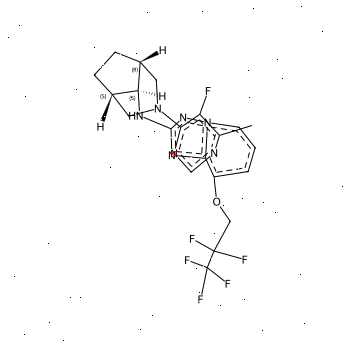 Cc1ncnc(N2C[C@H]3CC[C@@H](C2)[C@@H]3Nc2nc3c(OCC(F)(F)C(F)(F)F)cccn3n2)c1F